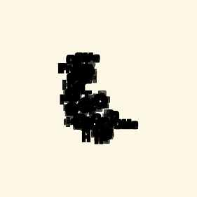 COC(=O)NC(C(=O)N1[C@H](c2nc3cc([C@H]4CC[C@H](c5cc6nc([C@@H]7C[C@@H]8CCC[C@@H]8N7C(=O)[C@@H](NC(=O)OC)C(C)C)[nH]c6cc5F)C4c4cc(F)c(N5CCCCC5)c(F)c4)c(F)cc3[nH]2)C[C@@H]2CCC[C@@H]21)C(C)C